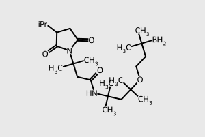 BC(C)(C)CCOC(C)(C)CC(C)(C)NC(=O)CC(C)(C)N1C(=O)CC(C(C)C)C1=O